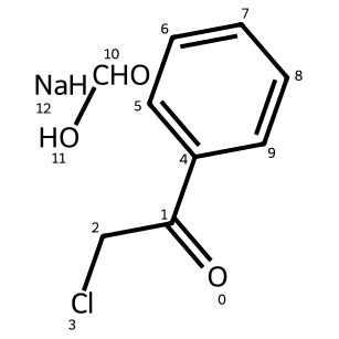 O=C(CCl)c1ccccc1.O=CO.[NaH]